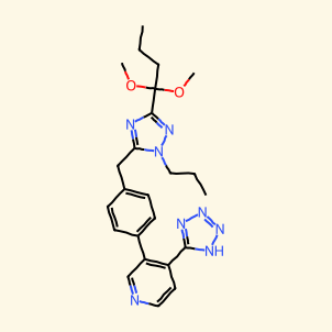 CCCn1nc(C(CCC)(OC)OC)nc1Cc1ccc(-c2cnccc2-c2nnn[nH]2)cc1